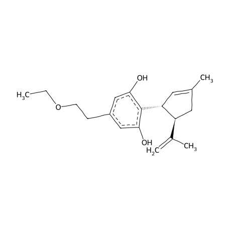 C=C(C)[C@@H]1CC(C)=C[C@H]1c1c(O)cc(CCOCC)cc1O